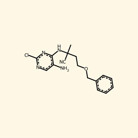 CC(C#N)(CCOCc1ccccc1)Nc1nc(Cl)ncc1N